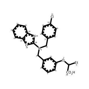 CCC(Oc1cccc(CN(Cc2ccc(Cl)cc2)c2nc3ccccc3o2)c1)C(=O)O